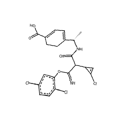 C[C@H](NC(=O)C(C(=N)Oc1cc(Cl)ccc1Cl)C1C=C1Cl)C1=CC=C(C(=O)O)CC1